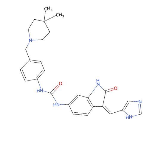 CC1(C)CCN(Cc2ccc(NC(=O)Nc3ccc4c(c3)NC(=O)/C4=C\c3cnc[nH]3)cc2)CC1